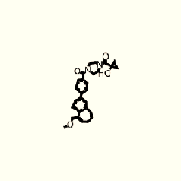 COCC1=CCC=Cc2cc(-c3ccc(C(=O)N4CCN(C(=O)C5(O)CC5)CC4)cc3)ccc21